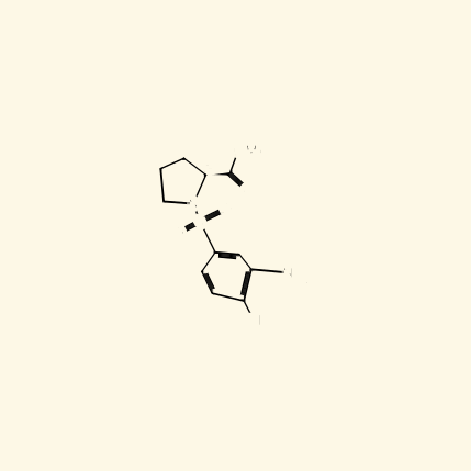 COC(=O)[C@@H]1CCCN1S(=O)(=O)c1ccc(Cl)c(N)c1